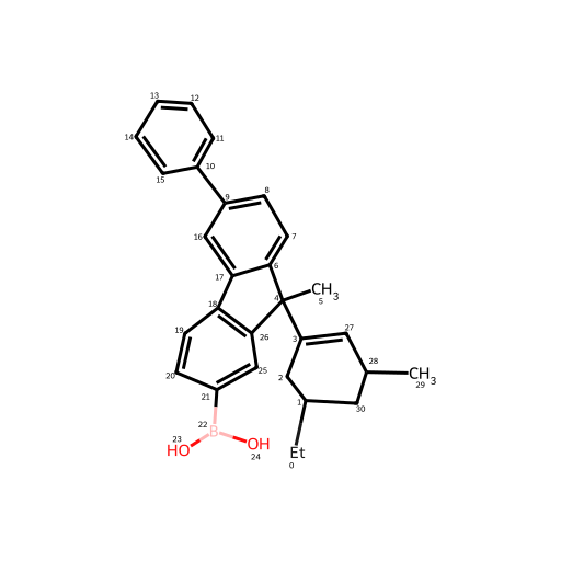 CCC1CC(C2(C)c3ccc(-c4ccccc4)cc3-c3ccc(B(O)O)cc32)=CC(C)C1